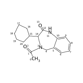 CC(=O)N1Cc2ccccc2NC(=O)C1C1CCCCC1